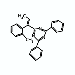 C/C=C(/c1nc(-c2ccccc2)nc(-c2ccccc2)n1)c1ccccc1C